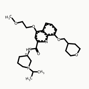 COCCOc1cc(C(=O)N[C@@H]2CCCN(C(C)C)C2)nc2c(OCC3CCOCC3)cccc12